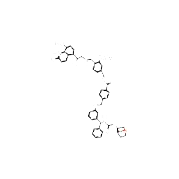 COc1cc(COC(=O)c2ccc(COc3cccc([C@@H](NC(=O)OC4CN5CCC4CC5)c4ccccc4)c3)cc2)ccc1CNCC(O)c1ccc(O)c2[nH]c(=O)ccc12